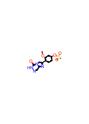 COc1cc(OS(C)(=O)=O)ccc1-c1cn2c(=O)[nH]ncc2n1